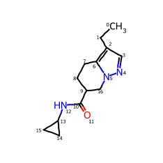 CCc1cnn2c1CCC(C(=O)NC1CC1)C2